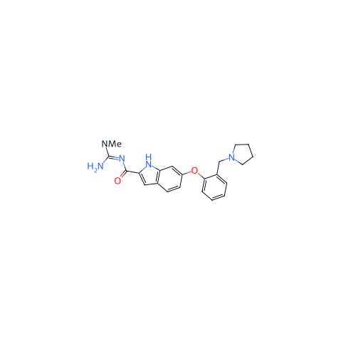 CNC(N)=NC(=O)c1cc2ccc(Oc3ccccc3CN3CCCC3)cc2[nH]1